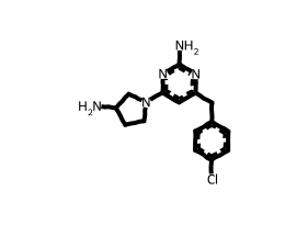 Nc1nc(Cc2ccc(Cl)cc2)cc(N2CCC(N)C2)n1